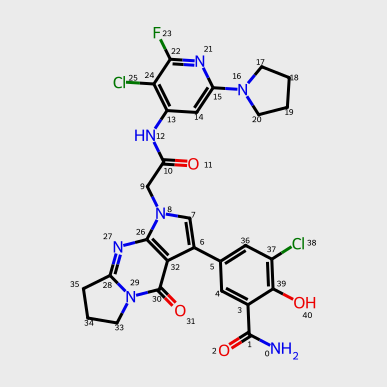 NC(=O)c1cc(-c2cn(CC(=O)Nc3cc(N4CCCC4)nc(F)c3Cl)c3nc4n(c(=O)c23)CCC4)cc(Cl)c1O